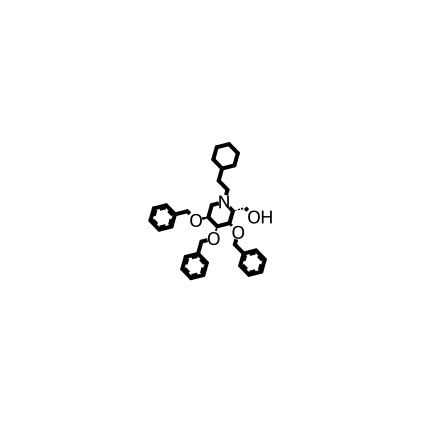 OC[C@@H]1[C@@H](OCc2ccccc2)[C@H](OCc2ccccc2)[C@@H](OCc2ccccc2)CN1CCC1CCCCC1